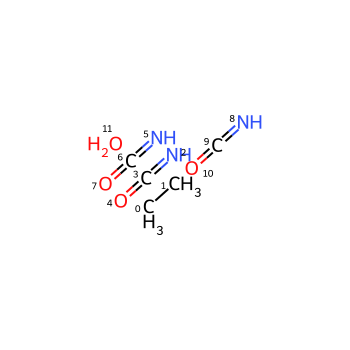 CC.N=C=O.N=C=O.N=C=O.O